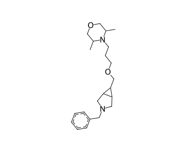 CC1COCC(C)N1CCCOCC1C2CN(Cc3ccccc3)CC12